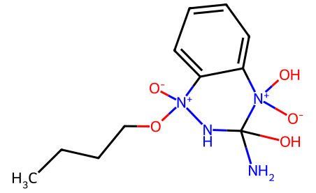 CCCCO[N+]1([O-])NC(N)(O)[N+]([O-])(O)c2ccccc21